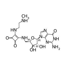 CNCCNc1c(NC[C@H]2O[C@@H](n3cnc4c(=O)[nH]c(N)nc43)[C@H](O)[C@H]2O)c(=O)c1=O